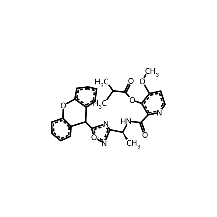 COc1ccnc(C(=O)N[C@@H](C)c2noc(C3c4ccccc4Oc4ccccc43)n2)c1OC(=O)C(C)C